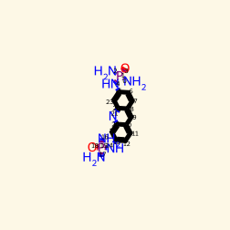 NP(N)(=O)Nc1ccc2cc3ccc(NP(N)(N)=O)cc3nc2c1